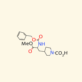 COC(=O)C(CC1CCN(C(=O)O)CC1)NC(=O)OCc1ccccc1